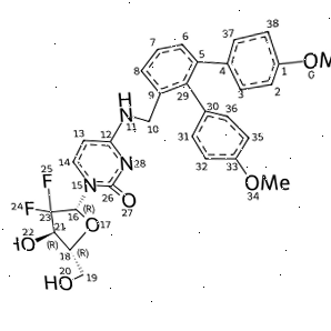 COc1ccc(-c2cccc(CNc3ccn([C@@H]4O[C@H](CO)[C@@H](O)C4(F)F)c(=O)n3)c2-c2ccc(OC)cc2)cc1